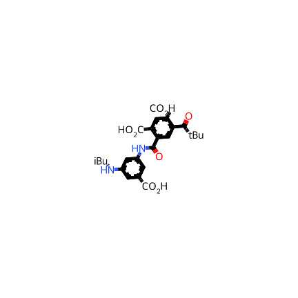 CCC(C)Nc1cc(NC(=O)c2cc(C(=O)C(C)(C)C)c(C(=O)O)cc2C(=O)O)cc(C(=O)O)c1